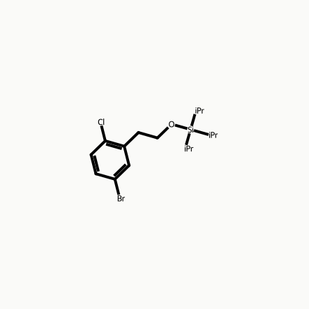 CC(C)[Si](OCCc1cc(Br)ccc1Cl)(C(C)C)C(C)C